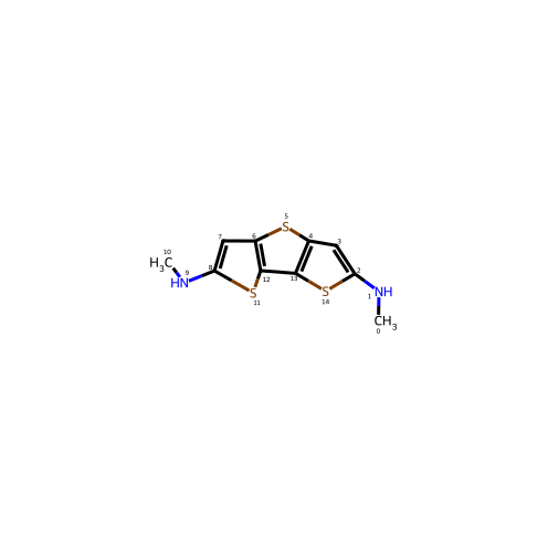 CNc1cc2sc3cc(NC)sc3c2s1